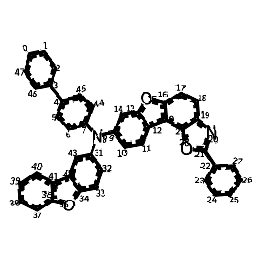 c1ccc(-c2ccc(N(c3ccc4c(c3)oc3ccc5nc(-c6ccccc6)oc5c34)c3ccc4oc5ccccc5c4c3)cc2)cc1